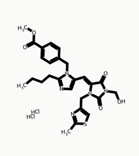 CCCCc1ncc(/C=C2/C(=O)N(CO)C(=O)N2Cc2csc(C)n2)n1Cc1ccc(C(=O)OC)cc1.Cl.Cl